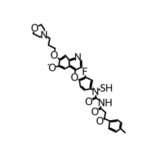 COc1cc2c(Oc3ccc(N(S)C(=O)NC(=O)CC(=O)c4ccc(C)cc4)cc3F)ccnc2cc1OCCCN1CCOCC1